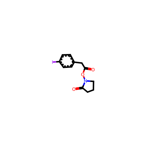 O=C(Cc1ccc(I)cc1)ON1CCCC1=O